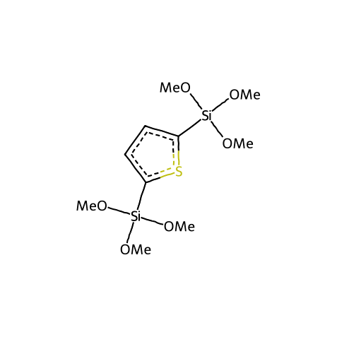 CO[Si](OC)(OC)c1ccc([Si](OC)(OC)OC)s1